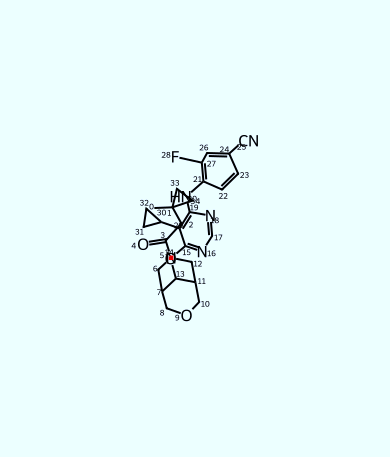 CC1(CC(=O)N2CC3COCC(C2)C3Oc2ncnc(Nc3ccc(C#N)cc3F)c2C2CC2)CC1